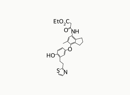 CCOC(=O)CC(=O)Nc1cc(C)c(Oc2ccc(O)c(CCc3nccs3)c2)c2c1CCC2